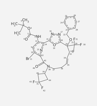 CC(C)(C)OC(=O)Nc1cc(Br)c2nc1-c1nnc(o1)C(OCc1ccccc1)(C(F)(F)F)C/C=C/CCN(C1CC(F)(F)C1)C2=O